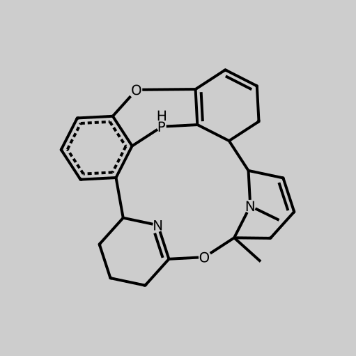 CN1C2C=CCC1(C)OC1=NC(CCC1)c1cccc3c1PC1=C(C=CCC12)O3